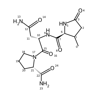 CC1CC(=O)N[C@@H]1C(=O)N[C@@H](CC(N)=O)C(=O)N1CCC[C@H]1C(N)=O